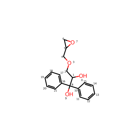 OC(COCC1CO1)C(O)(c1ccccc1)c1ccccc1